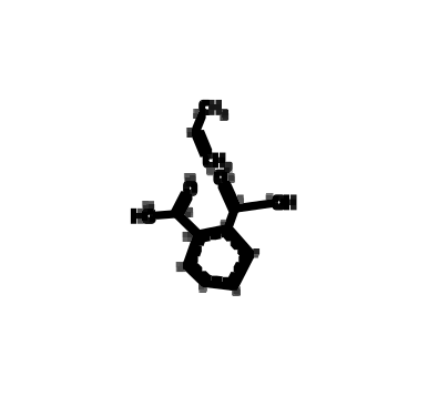 C=CC.O=C(O)c1ccccc1C(=O)O